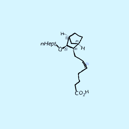 CCCCCCCO[C@H]1[C@H]2CC[C@H](C2)[C@H]1C/C=C\CCCC(=O)O